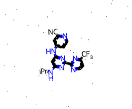 CC(C)Nc1cc(Nc2ccnc(C#N)c2)nc(-c2nccc(C(F)(F)F)n2)n1